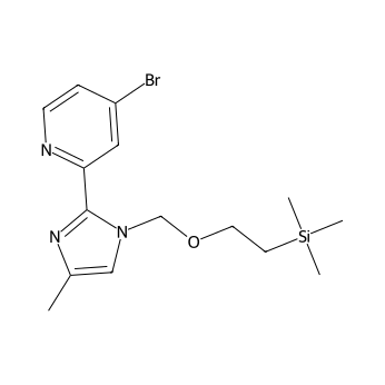 Cc1cn(COCC[Si](C)(C)C)c(-c2cc(Br)ccn2)n1